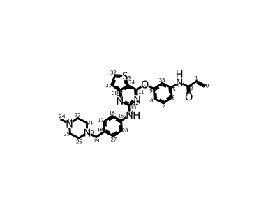 C=CC(=O)Nc1cccc(Oc2nc(Nc3ccc(CN4CCN(C)CC4)cc3)nc3ccsc23)c1